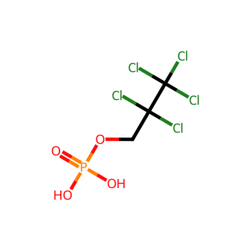 O=P(O)(O)OCC(Cl)(Cl)C(Cl)(Cl)Cl